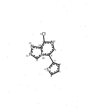 Clc1ncc(-c2cccs2)n2cnnc12